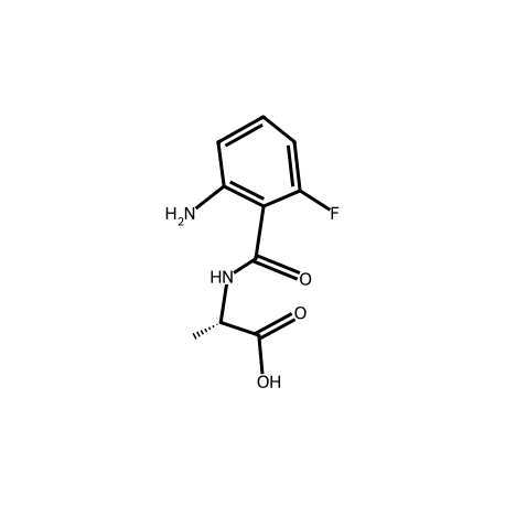 C[C@H](NC(=O)c1c(N)cccc1F)C(=O)O